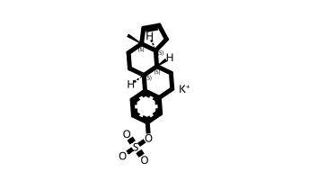 C[C@@]12C=CC[C@H]1[C@@H]1CCc3cc(OS(=O)(=O)[O-])ccc3[C@H]1CC2.[K+]